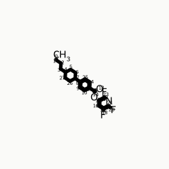 CCCCC1CCC(c2ccc(C(=O)Oc3cc(F)c(F)nc3F)cc2)CC1